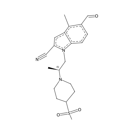 Cc1c(C=O)ccc2c1cc(C#N)n2C[C@H](C)N1CCC(S(C)(=O)=O)CC1